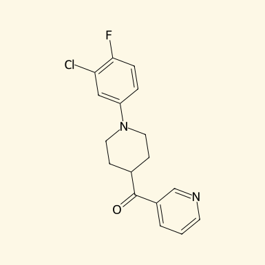 O=C(c1cccnc1)C1CCN(c2ccc(F)c(Cl)c2)CC1